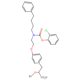 CCOC(Cc1ccc(OCCN(CCCCc2ccccc2)C(=O)Oc2ccccc2Cl)cc1)C(=O)O